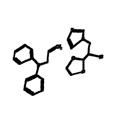 C=CCB(c1ccccc1)c1ccccc1.CCC(Cn1ccnc1)C1OCCO1